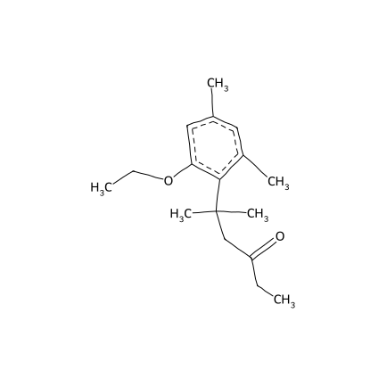 CCOc1cc(C)cc(C)c1C(C)(C)CC(=O)CC